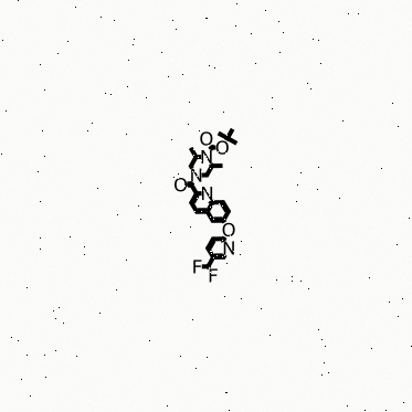 CC1CN(C(=O)c2ccc3cc(Oc4ccc(C(F)F)cn4)ccc3n2)CC(C)N1C(=O)OC(C)(C)C